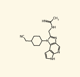 CC(=N)NCc1nc2cnc3[nH]ccc3c2n1C1CCC(CC#N)CC1